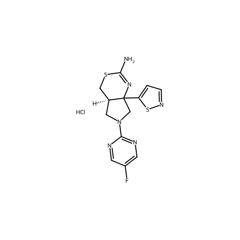 Cl.NC1=NC2(c3ccns3)CN(c3ncc(F)cn3)C[C@H]2CS1